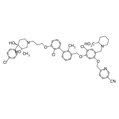 Cc1c(COc2cc(OCc3ccc(C#N)cn3)c(CN3CCCCC3C(=O)O)cc2Cl)cccc1-c1cccc(OCCCN2CC[C@@](O)(c3ccc(Cl)cc3)[C@](C)(O)C2)c1Cl